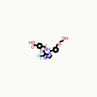 C[C@H](NC(=O)c1c(C(F)(F)F)nn2c1N(Cc1cccc(COCCO)c1)CC2)c1ccc(C(=O)O)cc1